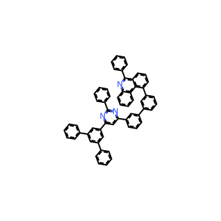 c1ccc(-c2cc(-c3ccccc3)cc(-c3cc(-c4cccc(-c5cccc(-c6cccc7c(-c8ccccc8)nc8ccccc8c67)c5)c4)nc(-c4ccccc4)n3)c2)cc1